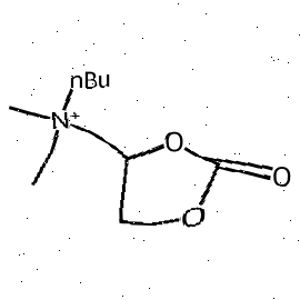 CCCC[N+](C)(C)C1COC(=O)O1